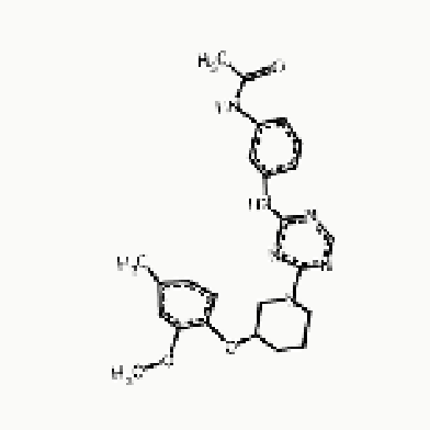 COc1cc(C)ccc1O[C@@H]1CCCN(c2ncnc(Nc3cccc(NC(C)=O)c3)n2)C1